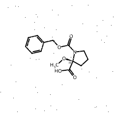 CO[C@]1(C(=O)O)CCCN1C(=O)OCc1ccccc1